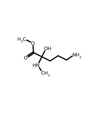 CNC(O)(CCCN)C(=O)OC